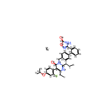 CCCc1nc(CC)c(-c2ccc(OC(C)C)cc2F)c(=O)n1Cc1ccc(-c2ccccc2-c2noc(=O)[nH]2)cc1.[K]